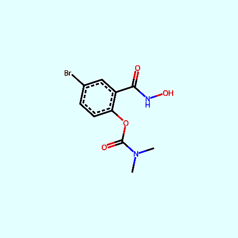 CN(C)C(=O)Oc1ccc(Br)cc1C(=O)NO